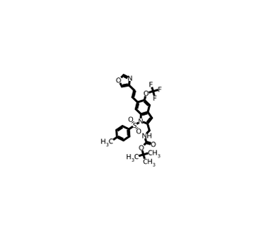 Cc1ccc(S(=O)(=O)n2c(CNC(=O)OC(C)(C)C)cc3cc(OC(F)(F)F)c(/C=C/c4cocn4)cc32)cc1